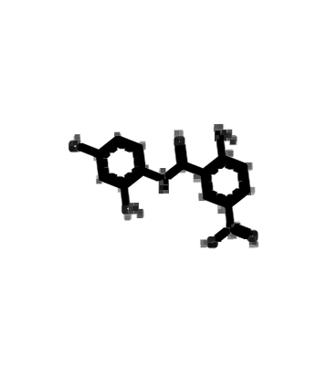 Cc1cc(Cl)ccc1NC(=O)c1cc([N+](=O)[O-])ccc1N